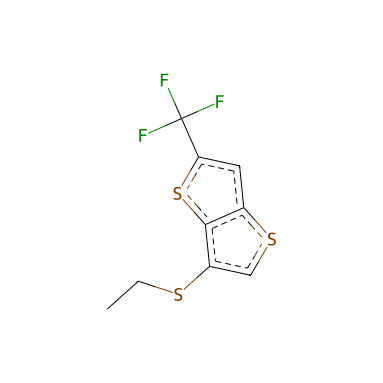 CCSc1csc2cc(C(F)(F)F)sc12